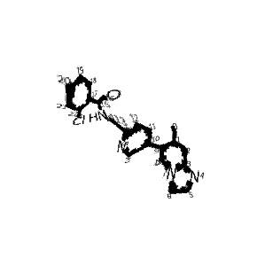 Cc1cc2nccn2cc1-c1ccc(NC(=O)c2ccccc2Cl)nc1